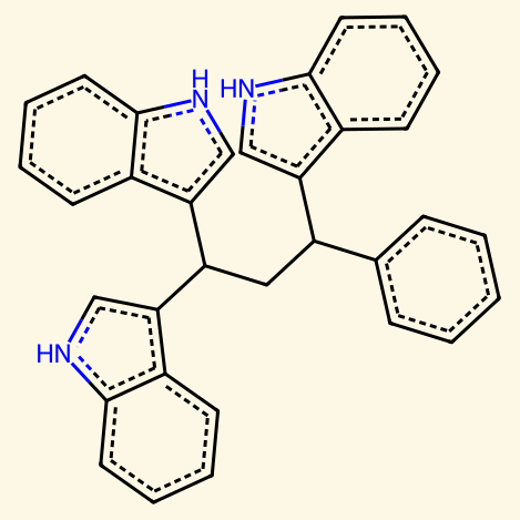 c1ccc(C(CC(c2c[nH]c3ccccc23)c2c[nH]c3ccccc23)c2c[nH]c3ccccc23)cc1